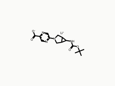 CC(C)(C)OC(=O)NC1C2CN(c3cnc(C(=O)[O-])cn3)CC21.[Li+]